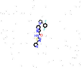 O=C(Nc1nnc(-c2cccnc2)s1)c1cc2cc(N3CCC[C@@H]3c3cc(F)ccc3F)ccn2n1